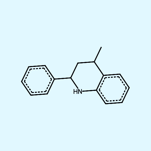 CC1CC(c2ccccc2)Nc2ccccc21